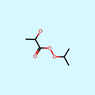 CC(C)OOC(=O)C(C)[O]